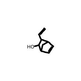 C=CC1C2C=CC(C2)C1O